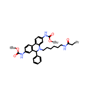 CC(C)CC(=O)NCCCCCCN1c2cc(NC(=O)OC(C)(C)C)ccc2-c2ccc(NC(=O)OC(C)(C)C)cc2C1c1ccccc1